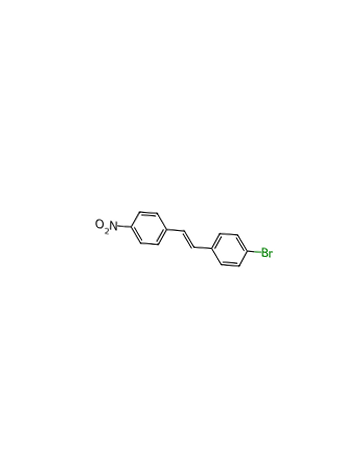 O=[N+]([O-])c1ccc(C=Cc2ccc(Br)cc2)cc1